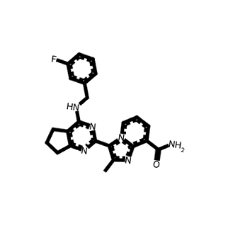 Cc1nc2c(C(N)=O)cccn2c1-c1nc2c(c(NCc3cccc(F)c3)n1)CCC2